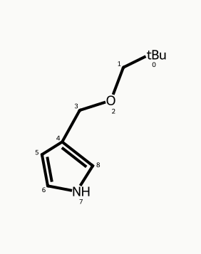 CC(C)(C)COCc1cc[nH]c1